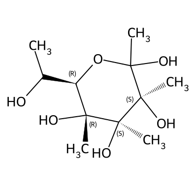 CC(O)[C@H]1OC(C)(O)[C@@](C)(O)[C@@](C)(O)[C@]1(C)O